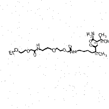 CCOCCOCC(=O)NCCOCCOCC(=O)NCCCC[C@H](C)C(=O)C[C@H](C(N)=O)[C@@H](C)O